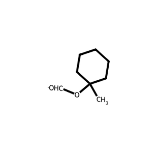 CC1(O[C]=O)CCCCC1